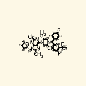 Cc1nc2c(N3C[C@@H](C)N(C(c4ccc(F)cc4)c4ccc(F)c(C(F)(F)F)n4)C[C@@H]3C)nc(Cl)nc2n1C[C@@H]1CCCO1